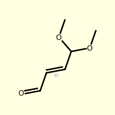 COC(/C=C/C=O)OC